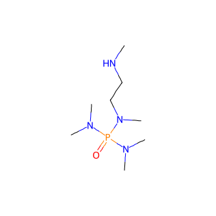 CNCCN(C)P(=O)(N(C)C)N(C)C